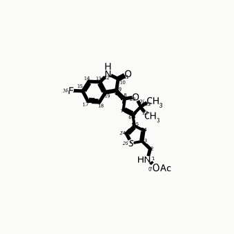 CC(=O)ONCc1cc(C2=CC(=C3C(=O)Nc4cc(F)ccc43)OC2(C)C)cs1